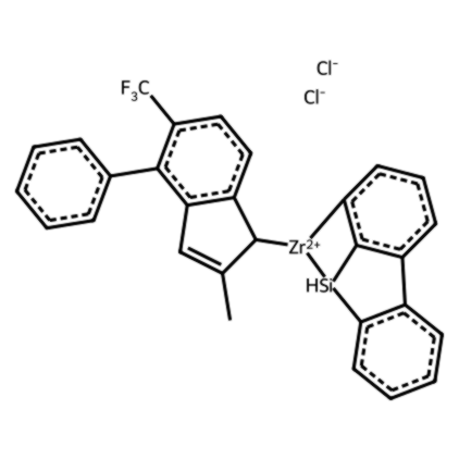 CC1=Cc2c(ccc(C(F)(F)F)c2-c2ccccc2)[CH]1[Zr+2]1[c]2cccc3c2[SiH]1c1ccccc1-3.[Cl-].[Cl-]